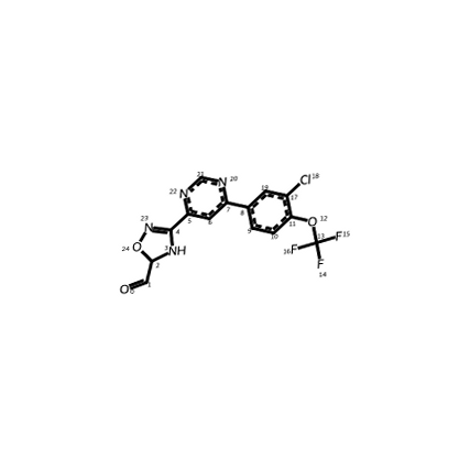 O=CC1NC(c2cc(-c3ccc(OC(F)(F)F)c(Cl)c3)ncn2)=NO1